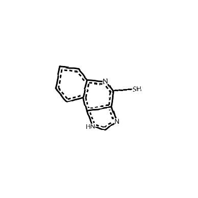 Sc1nc2ccccc2c2[nH]cnc12